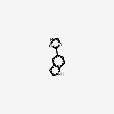 c1noc(-c2ccc3[nH]ccc3c2)n1